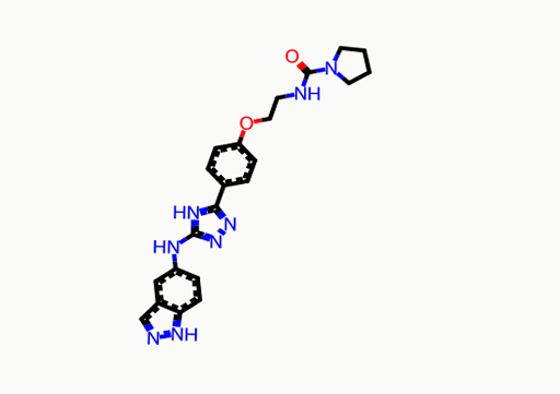 O=C(NCCOc1ccc(-c2nnc(Nc3ccc4[nH]ncc4c3)[nH]2)cc1)N1CCCC1